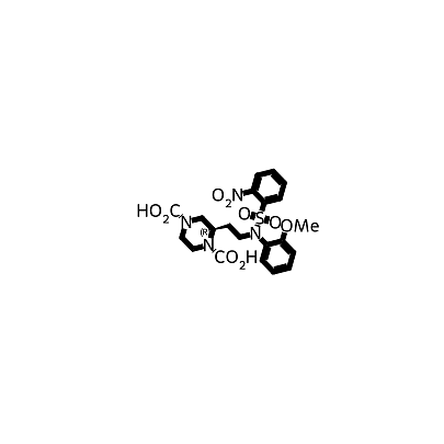 COc1ccccc1N(CC[C@@H]1CN(C(=O)O)CCN1C(=O)O)S(=O)(=O)c1ccccc1[N+](=O)[O-]